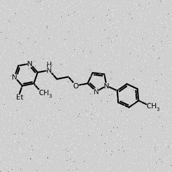 CCc1ncnc(NCCOc2ccn(-c3ccc(C)cc3)n2)c1C